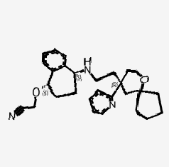 N#CCO[C@H]1CC[C@H](NCC[C@@]2(c3ccccn3)CCOC3(CCCC3)C2)c2ccccc21